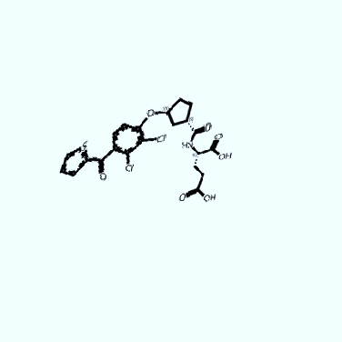 O=C(O)CC[C@H](NC(=O)[C@H]1CC[C@H](Oc2ccc(C(=O)c3cccs3)c(Cl)c2Cl)C1)C(=O)O